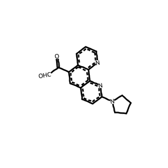 O=CC(=O)c1cc2ccc(N3CCCC3)nc2c2ncccc12